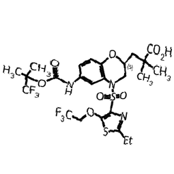 CCc1nc(S(=O)(=O)N2C[C@H](CC(C)(C)C(=O)O)Oc3ccc(NC(=O)OC(C)(C)C(F)(F)F)cc32)c(OCC(F)(F)F)s1